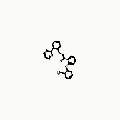 Nc1ccccc1Oc1ccccc1C(=O)COc1ccccc1-c1cccnn1